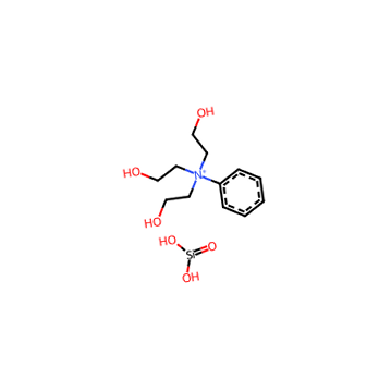 O=[Si](O)O.OCC[N+](CCO)(CCO)c1ccccc1